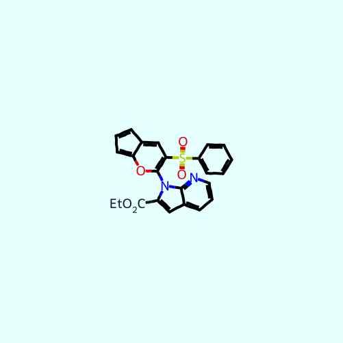 CCOC(=O)c1cc2cccnc2n1-c1oc2cccc-2cc1S(=O)(=O)c1ccccc1